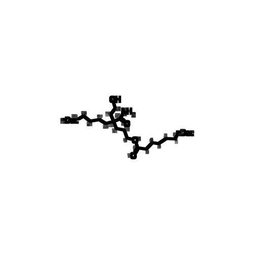 CCCCCCCCCCCCCCCC(=O)OCCCC(CCO)(CCCCCCCCCCCCCC)C(N)=O